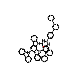 c1ccc(-c2cccc(-c3ccc(-c4nc(-c5ccccc5)nc(-n5c6ccccc6c6cc(-n7c8ccccc8c8ccccc87)c7c8ccccc8n(-c8ccccc8-c8ccccc8)c7c65)n4)cc3)c2)cc1